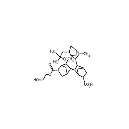 CC1C2CC(CC2C(=O)OCCO)C1C1C2CC(CC2C(=O)O)C1C1C(C)C2CC(CC(O)(C(F)(F)F)C(F)(F)F)C1C2